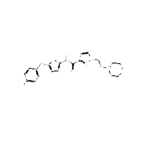 O=C(Nc1ncc(Cc2ccc(C(F)(F)F)cc2)s1)c1ccn(CCN2CCOCC2)n1